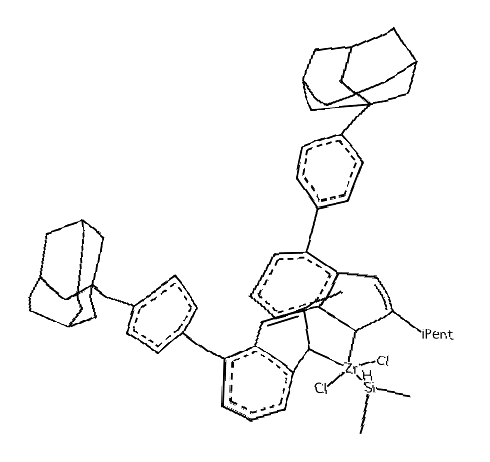 CCCC(C)C1=Cc2c(-c3ccc(C45CC6CC(CC(C6)C4)C5)cc3)cccc2[CH]1[Zr]([Cl])([Cl])([CH]1C(C)=Cc2c(-c3ccc(C45CC6CC(CC(C6)C4)C5)cc3)cccc21)[SiH](C)C